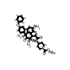 CC(C)(C)OC(=O)N1CCC(NC(=O)C2Sc3c(N)ccc4c3C2C(N)(O)C(=O)C4(N)c2ccc(Oc3ccccc3)cc2)CC1